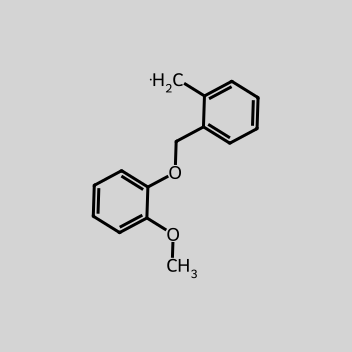 [CH2]c1ccccc1COc1ccccc1OC